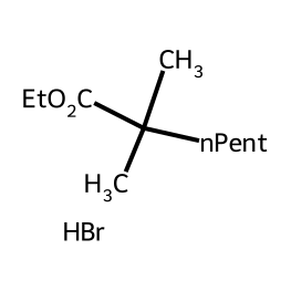 Br.CCCCCC(C)(C)C(=O)OCC